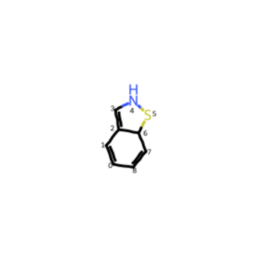 C1=CC2=CNSC2C=C1